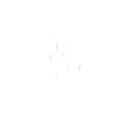 CN1Cc2c(Cl)cc(Cl)cc2C(c2ccccc2S(N)(=O)=O)C1